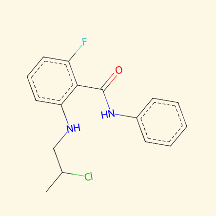 CC(Cl)CNc1cccc(F)c1C(=O)Nc1ccccc1